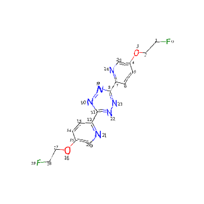 FCCOc1ccc(-c2nnc(-c3ccc(OCCF)cn3)nn2)nc1